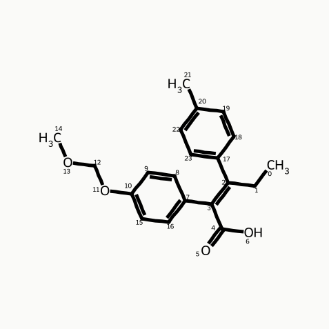 CC/C(=C(\C(=O)O)c1ccc(OCOC)cc1)c1ccc(C)cc1